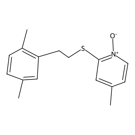 Cc1ccc(C)c(CCSc2cc(C)cc[n+]2[O-])c1